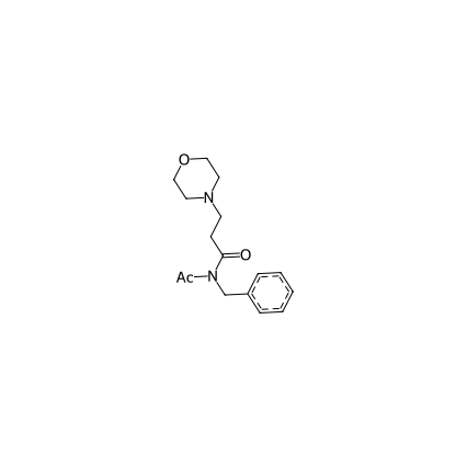 CC(=O)N(Cc1ccccc1)C(=O)CCN1CCOCC1